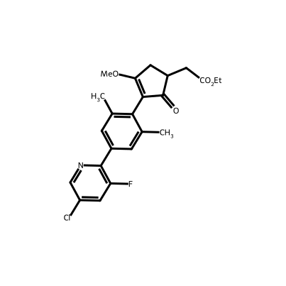 CCOC(=O)CC1CC(OC)=C(c2c(C)cc(-c3ncc(Cl)cc3F)cc2C)C1=O